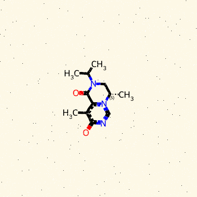 Cc1c2n(cnc1=O)[C@@H](C)CN(C(C)C)C2=O